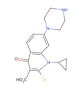 O=C(O)c1c(F)n(C2CC2)c2cc(N3CCNCC3)ccc2c1=O